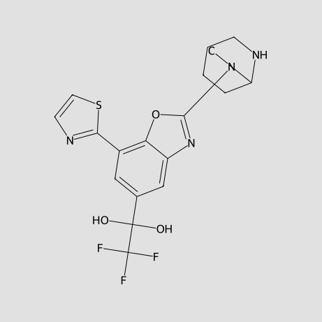 OC(O)(c1cc(-c2nccs2)c2oc(N3CC4CCC(C3)NC4)nc2c1)C(F)(F)F